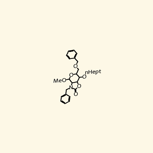 CCCCCCCOC1C(COCc2ccccc2)OC(OC)C2C1OC(=O)N2Cc1ccccc1